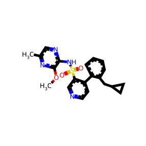 COc1nc(C)cnc1NS(=O)(=O)c1cnccc1-c1ccccc1CC1CC1